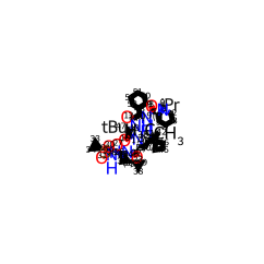 CC(C)N1CCCC[C@H]1C(=O)N[C@H](C(=O)N[C@H](C(=O)N1C[C@]2(C[C@H]1C(=O)N[C@]1(C(=O)NS(=O)(=O)C3CC3)C[C@H]1C1CC1)C(C)(C)C21CCC1)C(C)(C)C)C1CCCCC1